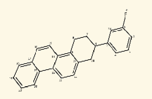 Fc1cccc(C2CCc3c(ccc4c3ccc3ccccc34)C2)c1